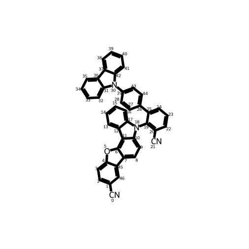 N#Cc1ccc2oc3c(ccc4c3c3ccccc3n4-c3c(C#N)cccc3-c3ccc(-n4c5ccccc5c5ccccc54)cc3)c2c1